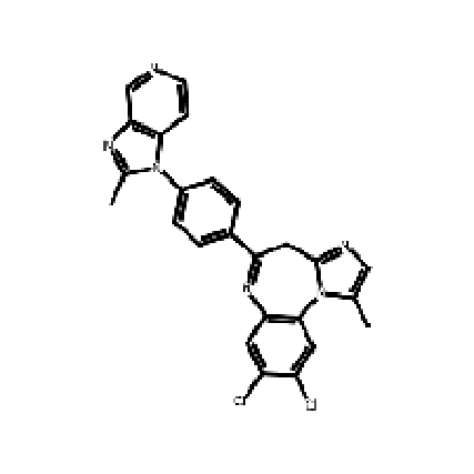 Cc1cnc2n1-c1cc(Cl)c(Cl)cc1N=C(c1ccc(-n3c(C)nc4cnccc43)cc1)C2